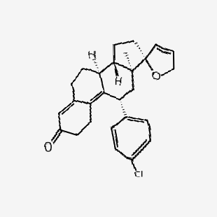 C[C@]12C[C@H](c3ccc(Cl)cc3)C3=C4CCC(=O)C=C4CC[C@H]3[C@@H]1CC[C@@]21C=CCO1